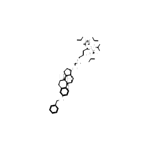 CC(C)OP(=O)(OC(C)C)C(CCCNC(=O)O[C@H]1CC[C@H]2[C@@H]3CCc4cc(OCc5ccccc5)ccc4[C@H]3CC[C@]12C)P(=O)(OC(C)C)OC(C)C